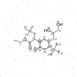 CCOC(=O)C(CC(C)(C)C)n1cc(CC(O)CO)c(C(F)(F)F)cc1=O